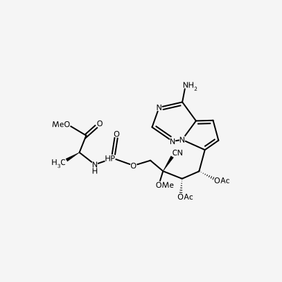 COC(=O)[C@H](C)N[PH](=O)OC[C@@](C#N)(OC)[C@@H](OC(C)=O)[C@@H](OC(C)=O)c1ccc2c(N)ncnn12